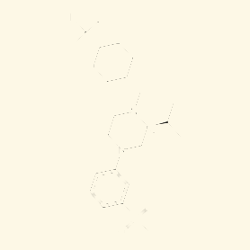 CC(C)[C@H]1CN(c2cccc(S(C)(=O)=O)c2)CCN1C[C@H]1CC[C@@H](C(F)(F)F)CC1